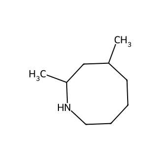 CC1CCCCNC(C)C1